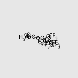 CS(=O)(=O)OCCOCCOCCOCCOCC(COC(C(F)(F)F)(C(F)(F)F)C(F)(F)F)(COC(C(F)(F)F)(C(F)(F)F)C(F)(F)F)CC(=O)C(F)(F)F